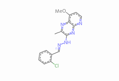 COc1ccnc2nc(N/N=C/c3ccccc3Cl)c(C)nc12